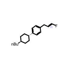 CCCC[C@H]1CC[C@H](c2ccc(C/C=C/F)cc2)CC1